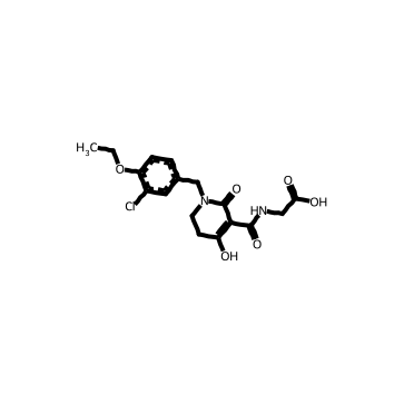 CCOc1ccc(CN2CCC(O)=C(C(=O)NCC(=O)O)C2=O)cc1Cl